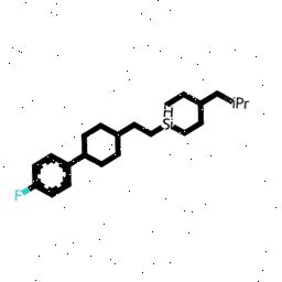 CC(C)CC1CC[SiH](CCC2CCC(c3ccc(F)cc3)CC2)CC1